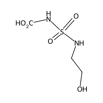 O=C(O)NS(=O)(=O)NCCO